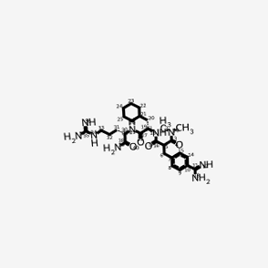 CN(C)C(=O)C(Cc1ccc(C(=N)N)cc1)C(=O)N[C@@H](CC1CCCCC1)C(=O)N[C@@H](CCCNC(=N)N)C(N)=O